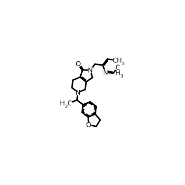 C/C=N\C(=C/C)CN1CC2=C(CCN(C(C)c3ccc4c(c3)OCC4)C2)C1=O